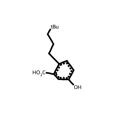 CC(C)(C)CCCc1ccc(O)cc1C(=O)O